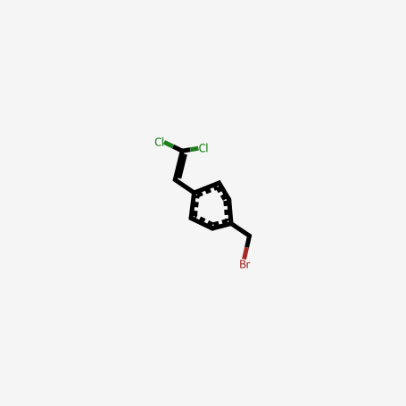 ClC(Cl)=Cc1ccc(CBr)cc1